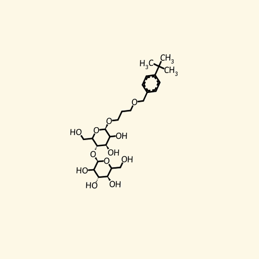 CC(C)(C)c1ccc(COCCCO[C@@H]2OC(CO)[C@@H](O[C@H]3OC(CO)[C@@H](O)[C@H](O)C3O)[C@H](O)C2O)cc1